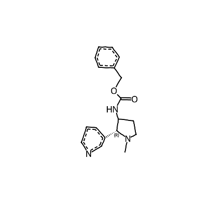 CN1CCC(NC(=O)OCc2ccccc2)[C@H]1c1cccnc1